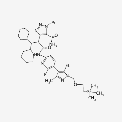 CCc1c(-c2ccc(NC(=O)C(c3nnn(C(C)C)c3C(N)=O)C(C3CCCCC3)C3CCCCC3)nc2F)c(C)nn1COCC[Si](C)(C)C